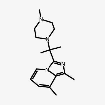 Cc1cccn2c(C(C)(C)N3CCN(C)CC3)nc(C)c12